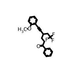 COc1ccccc1C#CC(CCC(=O)c1ccccc1)CC(F)(F)F